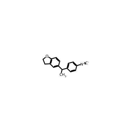 [C-]#[N+]c1ccc(C(C)c2ccc3c(c2)CCO3)cc1